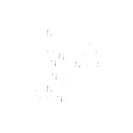 C=C(F)C(=O)N1CCN(c2nc(OC[C@@H]3CCCN3C)nc3c2C2(COC2)CN(c2cccc4cccc(C)c24)C3)C[C@@H]1CC#N